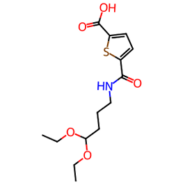 CCOC(CCCNC(=O)c1ccc(C(=O)O)s1)OCC